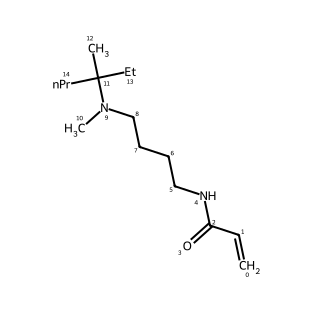 C=CC(=O)NCCCCN(C)C(C)(CC)CCC